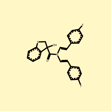 O=C(N(/C=C/c1ccc(F)cc1)/C=C/c1ccc(F)cc1)C1(O)CSc2ccccc21